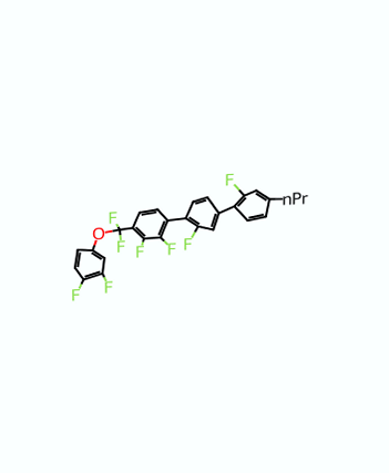 CCCc1ccc(-c2ccc(-c3ccc(C(F)(F)Oc4ccc(F)c(F)c4)c(F)c3F)c(F)c2)c(F)c1